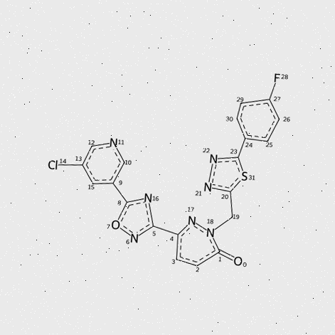 O=c1ccc(-c2noc(-c3cncc(Cl)c3)n2)nn1Cc1nnc(-c2ccc(F)cc2)s1